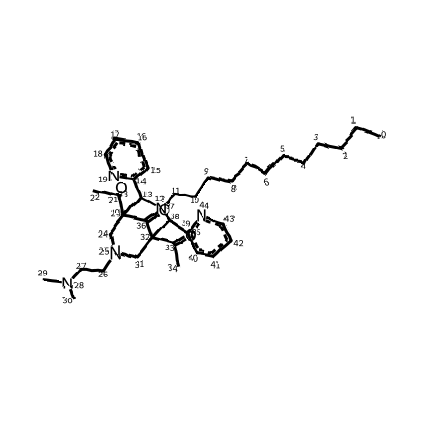 CCCCCCCCCCCCN1C(c2ccccn2)C2(C(C)=O)CN(CCN(C)C)CC(C(C)=O)(C2=O)C1c1ccccn1